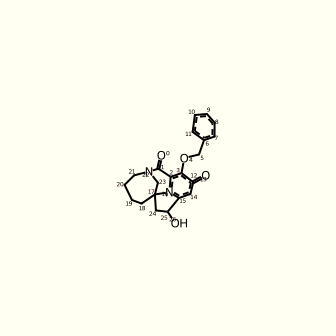 O=C1c2c(OCc3ccccc3)c(=O)cc3n2C2(CCCCN1C2)CC3O